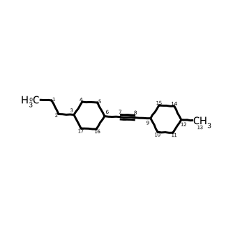 CCCC1CCC(C#CC2CCC(C)CC2)CC1